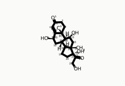 C[C@]12CCC(=O)C=C1[C@H](O)C[C@@H]1[C@@H]2[C@@H](O)C[C@@]2(C)[C@H]1CC[C@]2(O)C(=O)CO